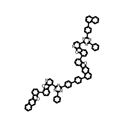 c1ccc(-c2nc(-c3ccc(-c4ccc(-c5cccc6cc7oc8c(-c9cccc%10c9oc9nccc(-c%11nc(-c%12ccccc%12)nc(-c%12ccc(-c%13cccc%14ccccc%13%14)cc%12)n%11)c9%10)cccc8c7cc56)cc4)cc3)nc(-c3ccnc4oc5c(-c6cccc7c6oc6cc8ccccc8cc67)cccc5c34)n2)cc1